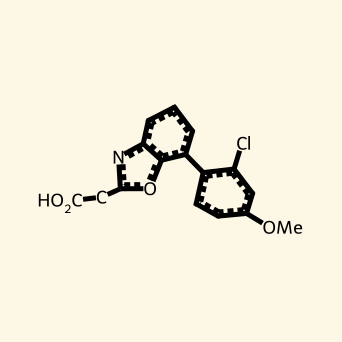 COc1ccc(-c2cccc3nc(CC(=O)O)oc23)c(Cl)c1